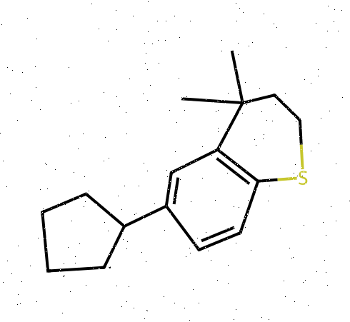 CC1(C)CCSc2ccc(C3[CH]CCC3)cc21